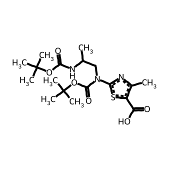 Cc1nc(N(CC(C)NC(=O)OC(C)(C)C)C(=O)OC(C)(C)C)sc1C(=O)O